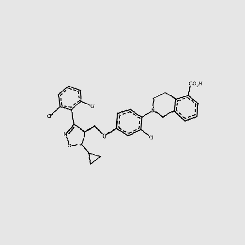 O=C(O)c1cccc2c1CCN(c1ccc(OCC3C(c4c(Cl)cccc4Cl)=NOC3C3CC3)cc1Cl)C2